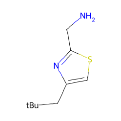 CC(C)(C)Cc1csc(CN)n1